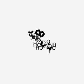 CC(C)OC(=O)[C@@H](C)N[P@@](=O)(OC[C@H]1O[C@@H](n2cc(F)c(=O)[nH]c2=O)[C@](C)(O)[C@@H]1O)Oc1cccc2ccccc12